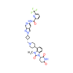 Cn1c(=O)n(C2CCC(=O)NC2=O)c2cccc(C3CCN(C[C@H]4C[C@H](n5cc6cc(NC(=O)c7cccc(C(F)(F)F)n7)ncc6n5)C4)CC3)c21